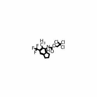 Cc1c(C(F)(F)F)cc2c(c1NC(=O)OCC(Cl)(Cl)Cl)CCC2